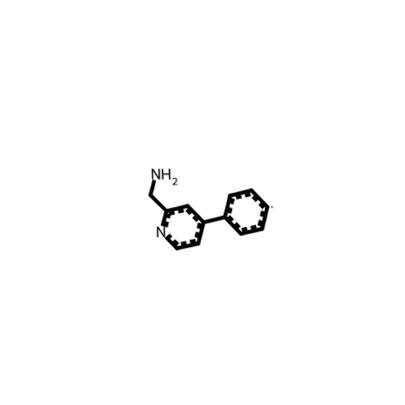 NCc1cc(-c2cc[c]cc2)ccn1